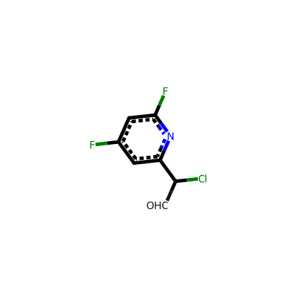 O=CC(Cl)c1cc(F)cc(F)n1